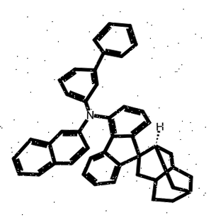 c1ccc(-c2cccc(N(c3ccc4ccccc4c3)c3cccc4c3-c3ccccc3C43CC4CCC5CC4C[C@H]3C5)c2)cc1